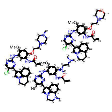 C=CC(=O)Nc1cc(Nc2ncc(C#N)c(-c3cn4c5c(cccc35)N(C)CC4)n2)c(OC)cc1N(C)CCN(C)C.C=CC(=O)Nc1cc(Nc2ncc(Cl)c(-c3cn4c5c(cccc35)CCC4)n2)c(OC)cc1OCCN1CCN(C)CC1.C=CC(=O)Nc1cc(Nc2ncc(Cl)c(-c3cn4c5c(cccc35)CCC4)n2)c(OC)cc1OCCN1CCOCC1